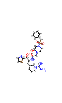 N=C(N)N1CCCC(CC(NC(=O)CN2CCN(S(=O)(=O)Cc3ccccc3)CC2=O)C(=O)c2nccs2)C1